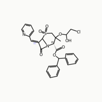 CC1(OC(O)CCl)CS(=O)(=O)C2/C(=C\c3ccccn3)C(=O)N2[C@H]1C(=O)OC(c1ccccc1)c1ccccc1